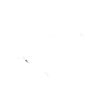 Cc1c(-c2ccc(C(O)N3CC[C@@H](N)C3)s2)noc1C(F)(F)F